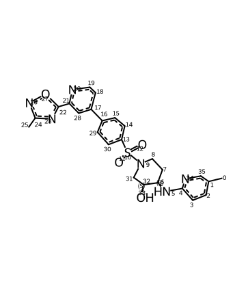 Cc1ccc(N[C@@H]2CCN(S(=O)(=O)c3ccc(-c4ccnc(-c5nc(C)no5)c4)cc3)C[C@@H]2O)nc1